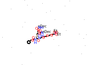 CCCCCCCCCCNC(=O)OC[C@H](CSC[C@H](NC(=O)OCc1ccccc1)C(=O)NCCOCCOCCOCCP(=O)(OCC)OCC)OC(=O)NCCCCCCCCCC